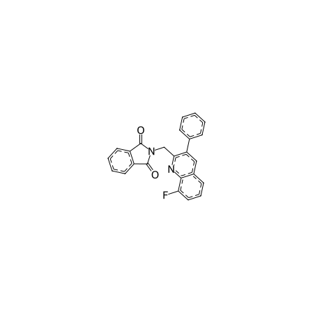 O=C1c2ccccc2C(=O)N1Cc1nc2c(F)cccc2cc1-c1ccccc1